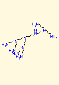 NCCCN(CCCN)CCCNCCCCN(CCCN(CCCN)CCCN)CCCN(CCCN)CCCN